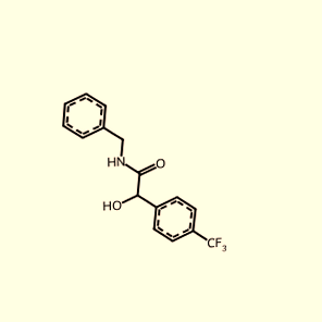 O=C(NCc1ccccc1)C(O)c1ccc(C(F)(F)F)cc1